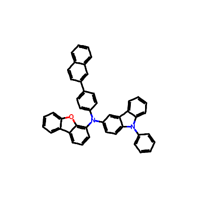 c1ccc(-n2c3ccccc3c3cc(N(c4ccc(-c5ccc6ccccc6c5)cc4)c4cccc5c4oc4ccccc45)ccc32)cc1